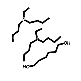 CCCCN(CC)CCCC.CCCCN(CC)CCCC.OCCCCCCO